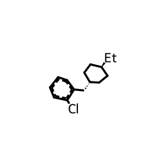 CC[C@H]1CC[C@H](Cc2ccccc2Cl)CC1